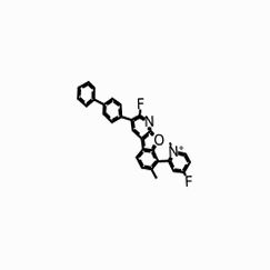 Cc1ccc2c(oc3nc(F)c(-c4ccc(-c5ccccc5)cc4)cc32)c1-c1cc(F)cc[n+]1C